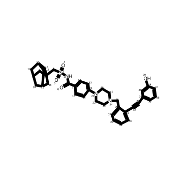 O=C(NS(=O)(=O)CC12CC3CC(CC(C3)C1)C2)c1ccc(N2CCN(Cc3ccccc3C#Cc3cccc(O)c3)CC2)cc1